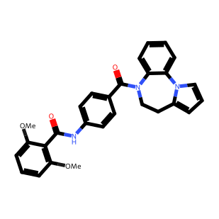 COc1cccc(OC)c1C(=O)Nc1ccc(C(=O)N2CCc3cccn3-c3ccccc32)cc1